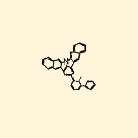 CC1C(c2ccccc2)=CC=CC1c1cc2c3cc4ccccc4cc3n3c4cc5ccccc5cc4c(c1)c23